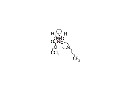 O=C(NC1C[C@H]2CC[C@@H](C1)N2S(=O)(=O)CC1CCN(CCCC(F)(F)F)CC1)OCC(Cl)(Cl)Cl